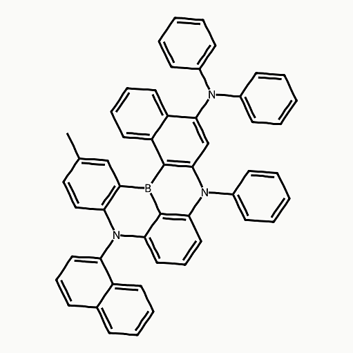 Cc1ccc2c(c1)B1c3c(cccc3N2c2cccc3ccccc23)N(c2ccccc2)c2cc(N(c3ccccc3)c3ccccc3)c3ccccc3c21